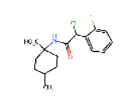 CC1CCC(NC(=O)C(Cl)c2ccccc2F)(C(=O)O)CC1